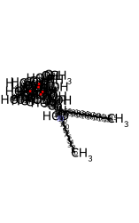 CCCCCCCCCCCCC/C=C/[C@@H](O)[C@H](CO[C@@H]1OC(CO)[C@@H](O[C@@H]2OC(CO)[C@H](O[C@@H]3OC(CO)[C@H](O)[C@H](O)C3NC(C)=O)[C@H](O[C@]3(C(=O)O)CC(O)[C@@H](NC(C)=O)C([C@H](O)[C@@H](CO)O[C@]4(C(=O)O)CC(O)[C@@H](NC(C)=O)C([C@H](O)[C@H](O)CO)O4)O3)C2O)[C@H](O)C1O)NC(=O)CCCCCCCCCCCCCCCCC